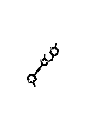 Cc1ccc(Cn2cc(C#Cc3ccnc(C)c3)nc2C)cn1